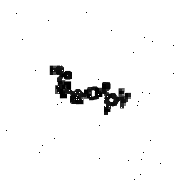 O=C(O)Cn1nnc(-c2cc(N3CCN(C(=O)c4cc(F)cc(C(F)(F)F)c4)CC3)no2)n1